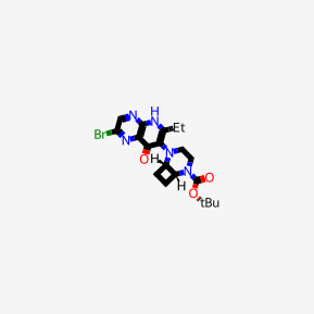 CCc1[nH]c2ncc(Br)nc2c(=O)c1N1CCN(C(=O)OC(C)(C)C)[C@H]2CC[C@@H]21